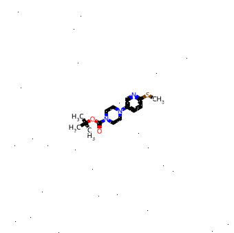 CSc1ccc(N2CCN(C(=O)OC(C)(C)C)CC2)cn1